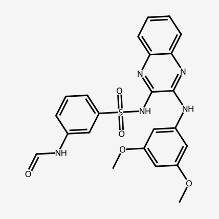 COc1cc(Nc2nc3ccccc3nc2NS(=O)(=O)c2cccc(NC=O)c2)cc(OC)c1